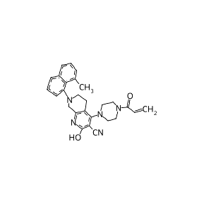 C=CC(=O)N1CCN(c2c(C#N)c(O)nc3c2CCN(c2cccc4cccc(C)c24)C3)CC1